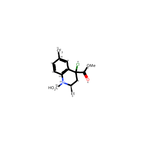 CC[C@@H]1CC(Cl)(C(=O)OC)c2cc(C(F)(F)F)ccc2N1C(=O)O